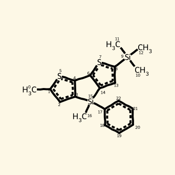 Cc1cc2c(s1)-c1sc([Si](C)(C)C)cc1[Si]2(C)c1ccccc1